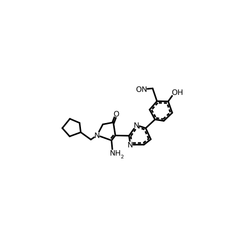 NC1=C(c2nccc(-c3ccc(O)c(CN=O)c3)n2)C(=O)CN1CC1CCCC1